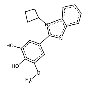 Oc1cc(-c2nc3ccccc3n2C2CCC2)cc(OC(F)(F)F)c1O